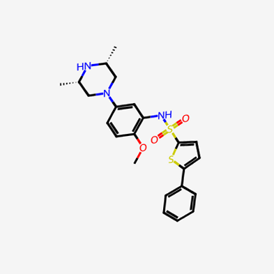 COc1ccc(N2C[C@@H](C)N[C@@H](C)C2)cc1NS(=O)(=O)c1ccc(-c2ccccc2)s1